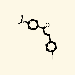 CN(C)c1ccc(C(=O)C=Cc2ccc(I)cc2)cc1